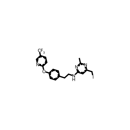 Cc1nc(CI)cc(NCCc2ccc(Oc3ccc(C(F)(F)F)cn3)cc2)n1